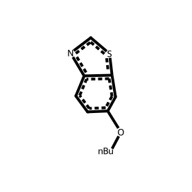 CCCCOc1ccc2ncsc2c1